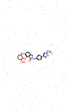 Cn1cc(-c2ccc(CN3Cc4ccc(Br)c(OC5CCCCC5O)c4C3=O)cc2)cn1